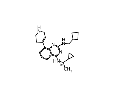 C[C@@H](Nc1nc(NCC2CCC2)nc2c(C3=CCNCC3)cccc12)C1CC1